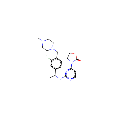 CC(Nc1nccc(N2CCOC2=O)n1)c1ccc(CN2CCN(C)CC2)c(F)c1